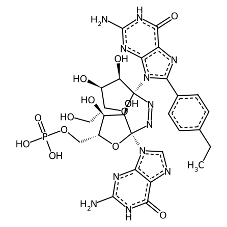 CCc1ccc(-c2nc3c(=O)[nH]c(N)nc3n2[C@]2(N=N[C@@]3(n4cnc5c(=O)[nH]c(N)nc54)O[C@H](COP(=O)(O)O)[C@@H](O)[C@H]3O)O[C@H](CO)[C@@H](O)[C@H]2O)cc1